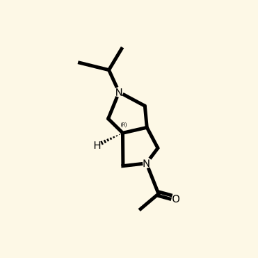 CC(=O)N1CC2CN(C(C)C)C[C@@H]2C1